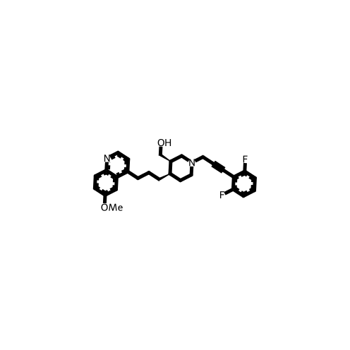 COc1ccc2nccc(CCC[C@@H]3CCN(CC#Cc4c(F)cccc4F)C[C@@H]3CO)c2c1